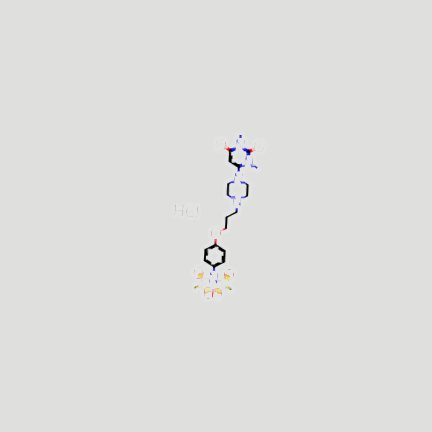 Cl.Cn1c(N2CCN(CCCOc3ccc(N(S(C)(=O)=O)S(C)(=O)=O)cc3)CC2)cc(=O)n(C)c1=O